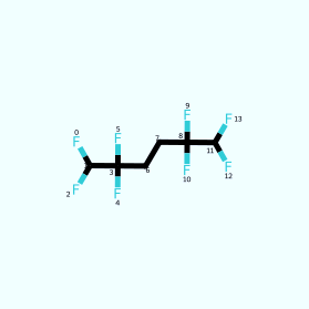 FC(F)C(F)(F)CCC(F)(F)C(F)F